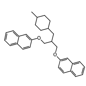 CC1CCC(CC(COc2ccc3ccccc3c2)COc2ccc3ccccc3c2)CC1